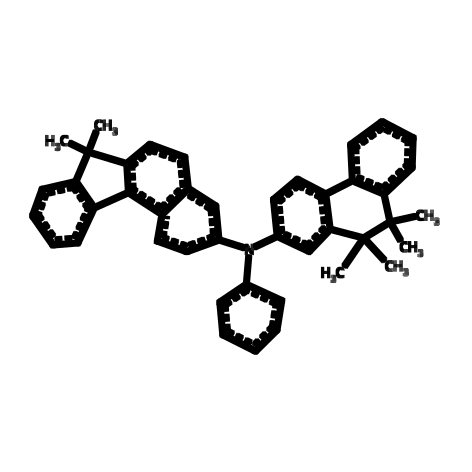 CC1(C)c2ccccc2-c2c1ccc1cc(N(c3ccccc3)c3ccc4c(c3)C(C)(C)C(C)(C)c3ccccc3-4)ccc21